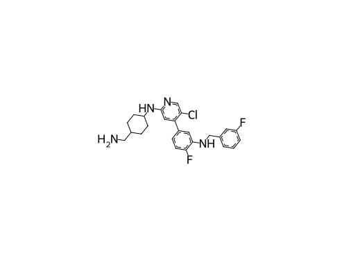 NCC1CCC(Nc2cc(-c3ccc(F)c(NCc4cccc(F)c4)c3)c(Cl)cn2)CC1